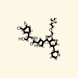 C[Si](C)(C)CCOCn1nc(-c2c[nH]c(C(=O)NC(CO)c3ccc(F)c(Cl)c3)c2)c2cc(-c3cccnc3)cnc21